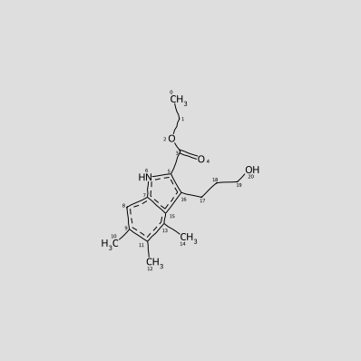 CCOC(=O)c1[nH]c2cc(C)c(C)c(C)c2c1CCCO